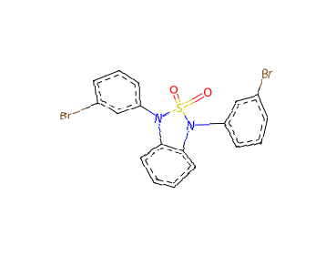 O=S1(=O)N(c2cccc(Br)c2)c2ccccc2N1c1cccc(Br)c1